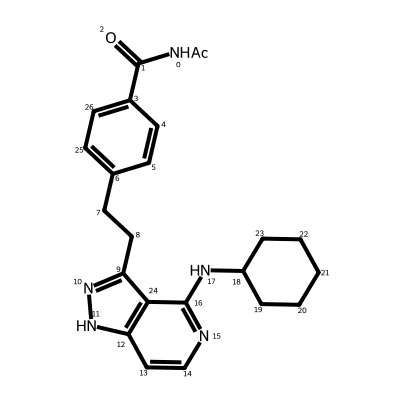 CC(=O)NC(=O)c1ccc(CCc2n[nH]c3ccnc(NC4CCCCC4)c23)cc1